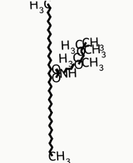 CCCCCCCCCCCCCCCCCCC(CCCCCCCCCCCCCCCCC)OC(=O)NCCCOC(C)(C)COC(C)(C)C